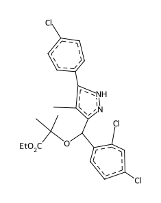 CCOC(=O)C(C)(C)OC(c1ccc(Cl)cc1Cl)c1n[nH]c(-c2ccc(Cl)cc2)c1C